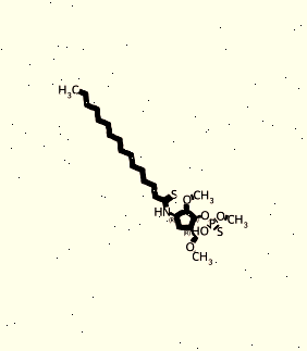 CCCCCCCCCCCCCCCC(=S)N[C@@H]1C[C@H](COC)[C@H](OP(O)(=S)OC)C1OC